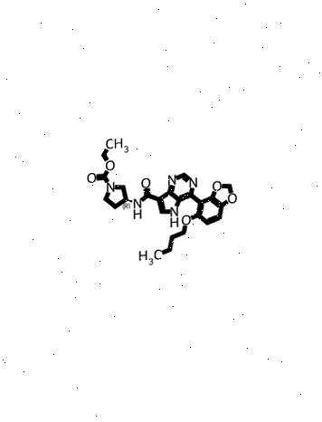 CCCCOc1ccc2c(c1-c1ncnc3c(C(=O)N[C@@H]4CCN(C(=O)OCC)C4)c[nH]c13)OCO2